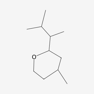 CC1CCOC(C(C)C(C)C)C1